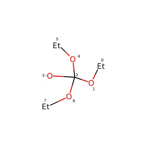 CCOC([O])(OCC)OCC